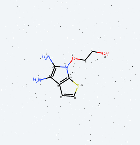 Nc1c(N)n(OCCO)c2sccc12